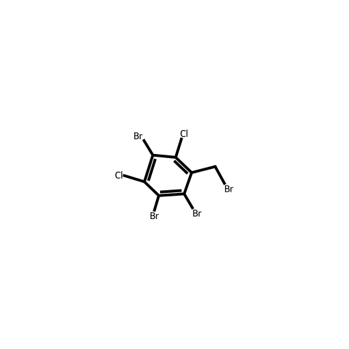 Clc1c(Br)c(Cl)c(CBr)c(Br)c1Br